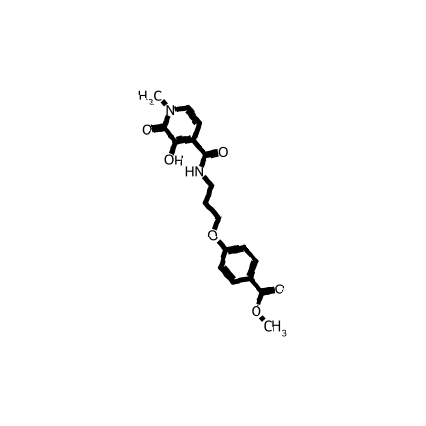 COC(=O)c1ccc(OCCCNC(=O)c2ccn(C)c(=O)c2O)cc1